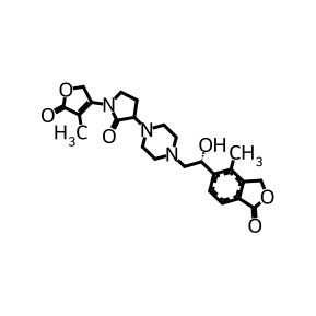 CC1=C(N2CCC(N3CCN(C[C@H](O)c4ccc5c(c4C)COC5=O)CC3)C2=O)COC1=O